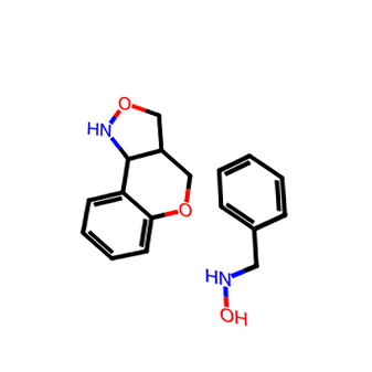 ONCc1ccccc1.c1ccc2c(c1)OCC1CONC21